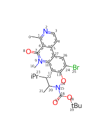 Cc1nccc2c1c(=O)n(C)c1cc(ON(C(=O)OC(C)(C)C)C(C)CC(C)C)c(Br)cc21